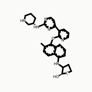 Cc1ccc2c(NC3CCC[C@H]3O)cccc2c1Oc1ncccc1-c1ccnc(N[C@H]2CCCNC2)n1